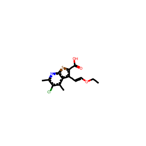 CCOC=Cc1c(C(=O)O)sc2nc(C)c(Cl)c(C)c12